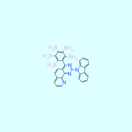 Bc1c(B)c(B)c(-c2nc(-n3c4ccccc4c4ccccc43)nc3c2ccc2cccnc23)c(B)c1B